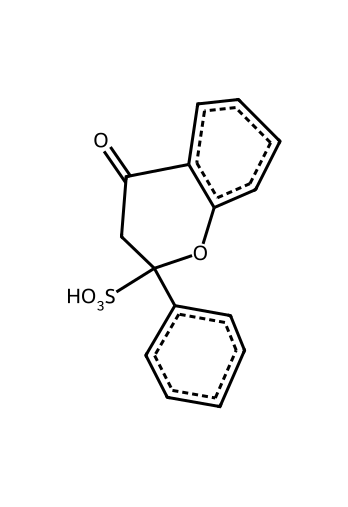 O=C1CC(c2ccccc2)(S(=O)(=O)O)Oc2ccccc21